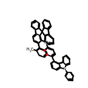 CC1CC=CC=C1c1ccc2c(c1Nc1ccc(-c3cccc4c3c3ccccc3n4-c3ccccc3)cc1)C1(c3ccccc3-c3ccccc31)c1ccccc1-2